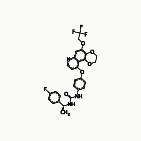 C[C@H](NC(=O)Nc1ccc(Oc2ccnc3cc(OCC(F)(F)F)c4c(c23)OCCO4)cc1)c1ccc(F)cc1